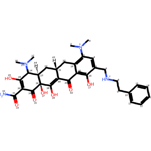 CN(C)c1cc(CNCCc2ccccc2)c(O)c2c1C[C@H]1C[C@@H]3C(N(C)C)C(O)=C(C(N)=O)C(=O)[C@@]3(O)C(O)=C1C2=O